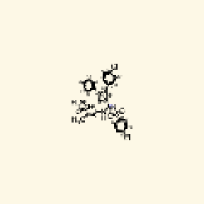 CC(CCN/C(=N\S(=O)(=O)c1ccc(Cl)cc1)N1C[C@@H](c2ccccc2)C(c2ccc(Cl)cc2)=N1)S(N)(=O)=O